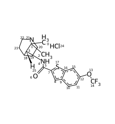 CC1(C)[C@H](NC(=O)c2cc3ccc(OC(F)(F)F)cc3s2)C2CCN1CC2.Cl